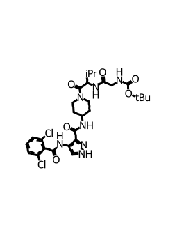 CC(C)C(NC(=O)CNC(=O)OC(C)(C)C)C(=O)N1CCC(NC(=O)c2n[nH]cc2NC(=O)c2c(Cl)cccc2Cl)CC1